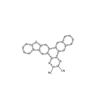 N#Cc1nc2c3cc4ccccc4cc3c3cc4sc5ccccc5c4cc3c2nc1C#N